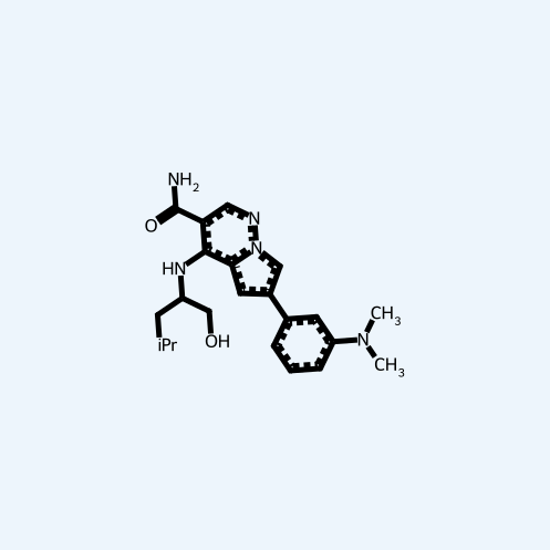 CC(C)CC(CO)Nc1c(C(N)=O)cnn2cc(-c3cccc(N(C)C)c3)cc12